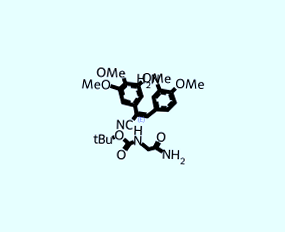 CC(C)(C)OC(=O)NCC(N)=O.COc1ccc(/C=C(/C#N)c2cc(OC)c(OC)c(OC)c2)cc1N